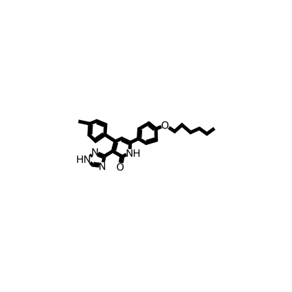 CCCCCCOc1ccc(-c2cc(-c3ccc(C)cc3)c(-c3nc[nH]n3)c(=O)[nH]2)cc1